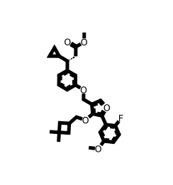 COC(=O)C[C@H](c1cccc(OCc2coc(-c3cc(OC)ccc3F)c2OCC2CC(C)(C)C2)c1)C1CC1